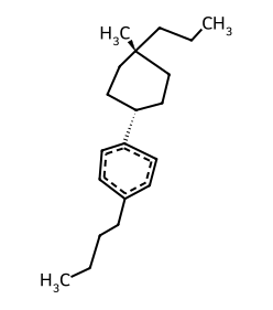 CCCCc1ccc([C@H]2CC[C@@](C)(CCC)CC2)cc1